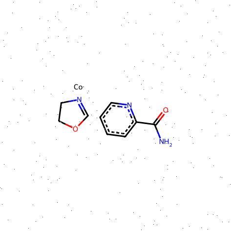 C1=NCCO1.NC(=O)c1ccccn1.[Co]